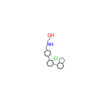 OCCNCc1ccc(-c2cccc(-c3cccc4c3CCC4)c2Cl)cc1